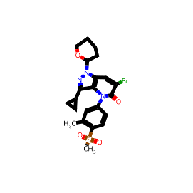 Cc1cc(-n2c(=O)c(Br)cc3c2c(C2CC2)nn3C2CCCCO2)ccc1S(C)(=O)=O